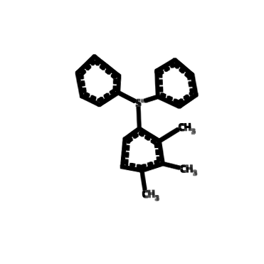 Cc1ccc([S+](c2ccccc2)c2ccccc2)c(C)c1C